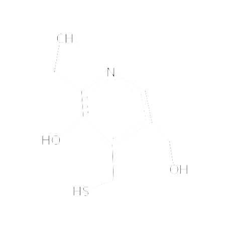 CCc1ncc(CO)c(CS)c1O